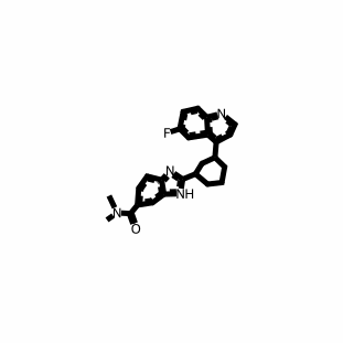 CN(C)C(=O)c1ccc2nc(C3CCCC(c4ccnc5ccc(F)cc45)C3)[nH]c2c1